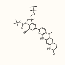 COc1cc2c(cc1Nc1nccc(-c3cc(C#N)c4c(c3)C(C)(CO[Si](C)(C)C(C)(C)C)CN4C(=O)OC(C)(C)C)n1)NC(=O)CC2